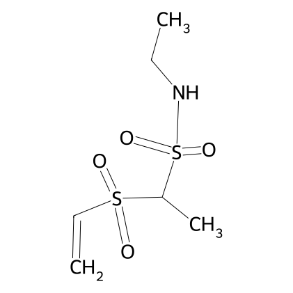 C=CS(=O)(=O)C(C)S(=O)(=O)NCC